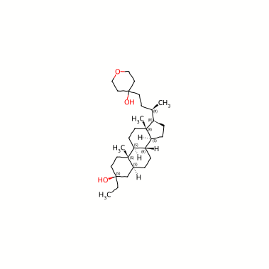 CC[C@]1(O)CC[C@@]2(C)[C@@H](CC[C@@H]3[C@@H]2CC[C@]2(C)[C@@H]([C@H](C)CCC4(O)CCOCC4)CC[C@@H]32)C1